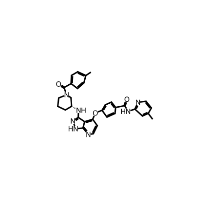 Cc1ccc(C(=O)N2CCC[C@@H](Nc3n[nH]c4nccc(Oc5ccc(C(=O)Nc6cc(C)ccn6)cc5)c34)C2)cc1